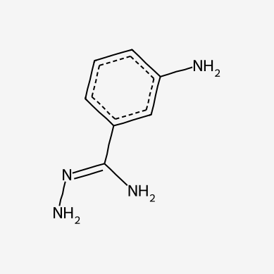 N/N=C(\N)c1cccc(N)c1